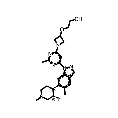 Cc1nc(N2CC(OCCO)C2)cc(-n2ncc3cc(C)c([C@@H]4CCN(C)C[C@@H]4F)cc32)n1